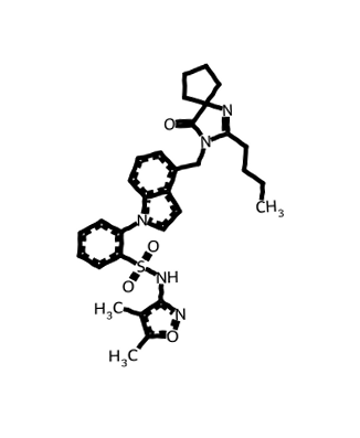 CCCCC1=NC2(CCCC2)C(=O)N1Cc1cccc2c1ccn2-c1ccccc1S(=O)(=O)Nc1noc(C)c1C